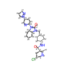 Cc1ncc(Cl)cc1C(=O)N[C@H]1CC[C@H](Cn2c(=O)n(-c3ccc(-n4cccn4)cn3)c3ccccc32)CC1